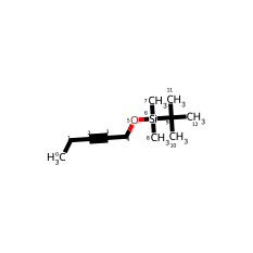 CCC#CCO[Si](C)(C)C(C)(C)C